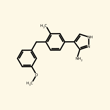 COc1cccc(Cc2ccc(-c3c[nH]nc3N)cc2C)c1